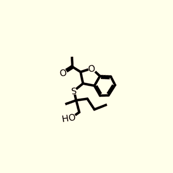 CCCC(C)(CO)SC1c2ccccc2OC1C(C)=O